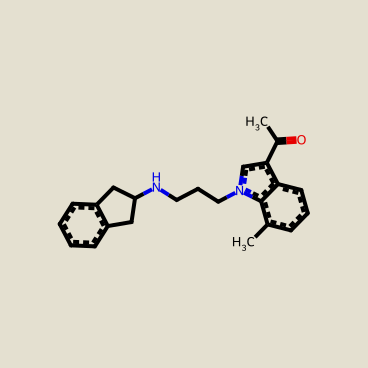 CC(=O)c1cn(CCCNC2Cc3ccccc3C2)c2c(C)cccc12